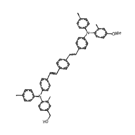 COc1ccc(N(c2ccc(C)cc2)c2ccc(C=Cc3ccc(C=Cc4ccc(N(c5ccc(C)cc5)c5ccc(CO)cc5C)cc4)cc3)cc2)c(C)c1